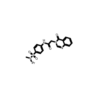 CC(C)N(C)S(=O)(=O)c1ccc(NC(=O)Cn2cnc3ccccc3c2=O)cc1